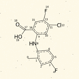 Cc1cc(F)ccc1Nc1cc(Cl)c(F)cc1C(=O)O